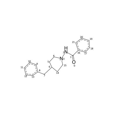 O=C(NN1CCC(Cc2ccccc2)CC1)c1ccccc1